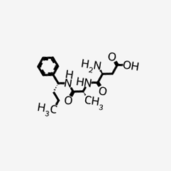 CCC[C@@H](NC(=O)[C@@H](C)NC(=O)[C@@H](N)CC(=O)O)c1ccccc1